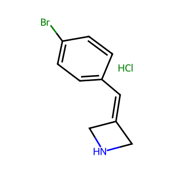 Brc1ccc(C=C2CNC2)cc1.Cl